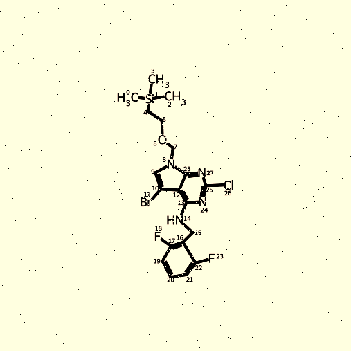 C[Si](C)(C)CCOCn1cc(Br)c2c(NCc3c(F)cccc3F)nc(Cl)nc21